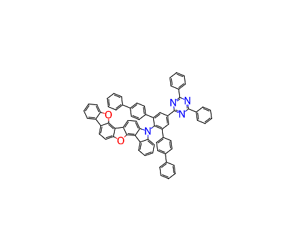 c1ccc(-c2ccc(-c3cc(-c4nc(-c5ccccc5)nc(-c5ccccc5)n4)cc(-c4ccc(-c5ccccc5)cc4)c3-n3c4ccccc4c4c5oc6ccc7c8ccccc8oc7c6c5ccc43)cc2)cc1